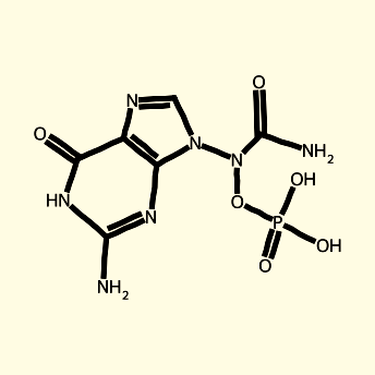 NC(=O)N(OP(=O)(O)O)n1cnc2c(=O)[nH]c(N)nc21